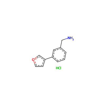 Cl.NCc1cccc(-c2ccoc2)c1